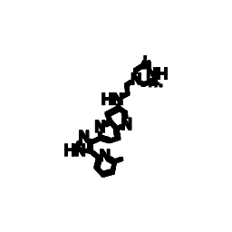 Cc1cccc(-c2[nH]cnc2-c2ccc3ncc(NCCN4C[C@@H](C)N[C@@H](C)C4)cc3n2)n1